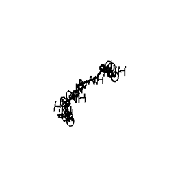 CC[C@@H]1C(=O)N(C)c2cnc(Nc3ccc(C(=O)NC4CCC(N5CCN(CCCNCCC#Cc6cccc7c6CN(C6CCC(=O)NC6=O)C7=O)CC5)CC4)cc3OC)nc2N1C1CCCC1